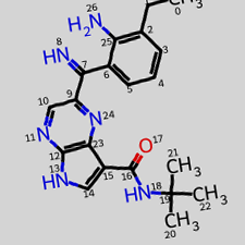 CCc1cccc(C(=N)c2cnc3[nH]cc(C(=O)NC(C)(C)C)c3n2)c1N